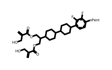 C=C(CO)C(=O)OCC(COC(=O)C(=C)CO)C1CCC(C2CCC(c3ccc(CCCCC)c(F)c3F)CC2)CC1